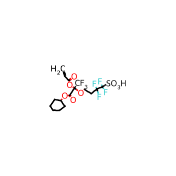 C=CC(=O)OC(OCCC(F)(F)C(F)(F)S(=O)(=O)O)(C(=O)OC1CCCCC1)C(F)(F)F